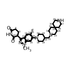 Cn1nc(C2CCC(=O)NC2=O)c2cc(F)c(N3CCC(CN4CCC5(CCNCC5)CC4)CC3)cc21